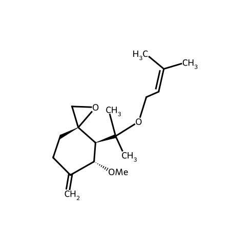 C=C1CC[C@]2(CO2)[C@@H](C(C)(C)OCC=C(C)C)[C@@H]1OC